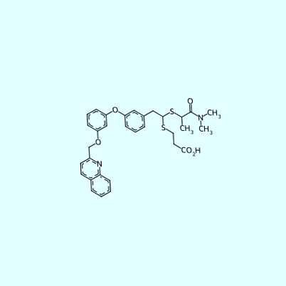 CC(SC(Cc1cccc(Oc2cccc(OCc3ccc4ccccc4n3)c2)c1)SCCC(=O)O)C(=O)N(C)C